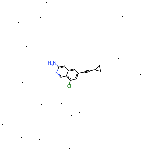 Nc1cc2cc(C#CC3CC3)cc(Cl)c2cn1